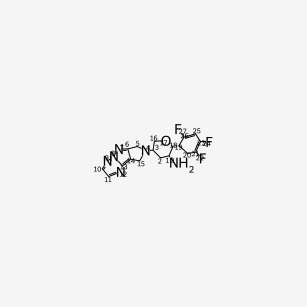 NC1CC(N2Cc3nn4nccnc4c3C2)COC1[C@H]1CC(F)=C(F)C=C1F